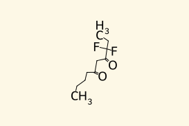 CCCCC(=O)CC(=O)C(F)(F)CC